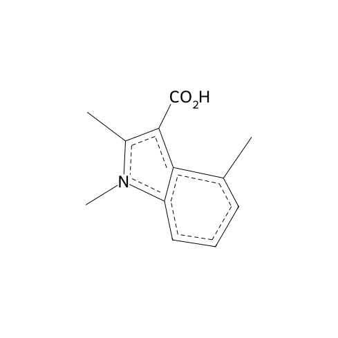 Cc1cccc2c1c(C(=O)O)c(C)n2C